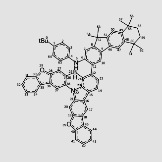 CC(C)(C)c1ccc(Nc2cc3c(cc2-c2ccc4c5cc6c(cc5n5c4c2Bc2cc4oc7ccccc7c4cc2-5)oc2ccccc26)-c2cc4c(cc2C3(C)C)C(C)(C)CCC4(C)C)cc1